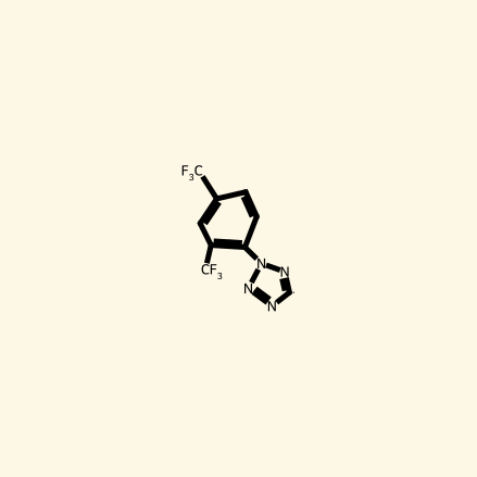 FC(F)(F)c1ccc(-n2n[c]nn2)c(C(F)(F)F)c1